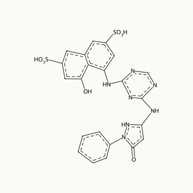 O=c1cc(Nc2n[c]nc(Nc3cc(S(=O)(=O)O)cc4cc(S(=O)(=O)O)cc(O)c34)n2)[nH]n1-c1ccccc1